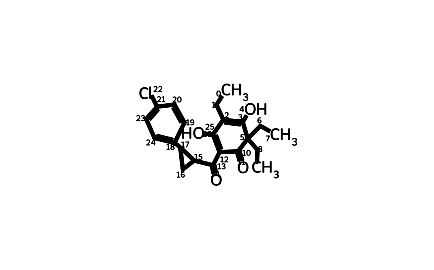 CCC1=C(O)C(CC)(CC)C(=O)C(C(=O)C2CC2c2ccc(Cl)cc2)=C1O